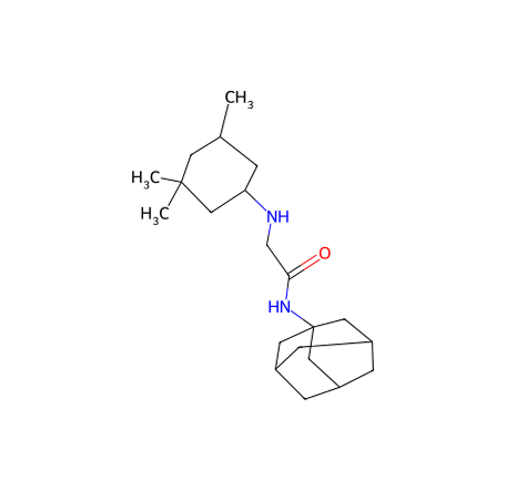 CC1CC(NCC(=O)NC23CC4CC(CC(C4)C2)C3)CC(C)(C)C1